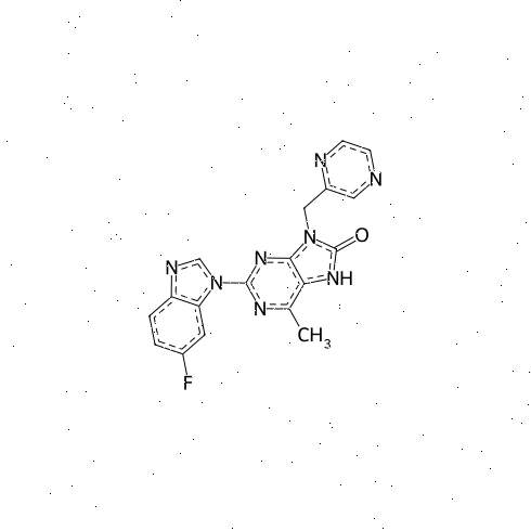 Cc1nc(-n2cnc3ccc(F)cc32)nc2c1[nH]c(=O)n2Cc1cnccn1